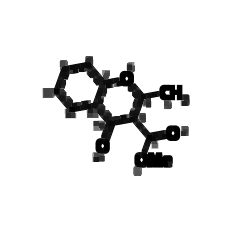 COC(=O)c1c(C)oc2ccccc2c1=O